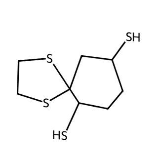 SC1CCC(S)C2(C1)SCCS2